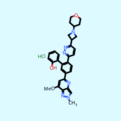 COc1cc(-c2ccc(-c3ccc(C4CN(C5CCOCC5)C4)nn3)c(-c3ccccc3O)c2)nc2cn(C)nc12.Cl